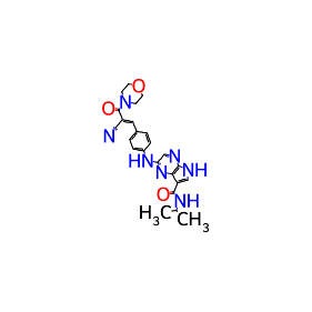 CC(C)NC(=O)c1c[nH]c2ncc(Nc3ccc(/C=C(\C#N)C(=O)N4CCOCC4)cc3)nc12